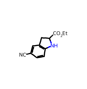 CCOC(=O)C1Cc2cc(C#N)ccc2N1